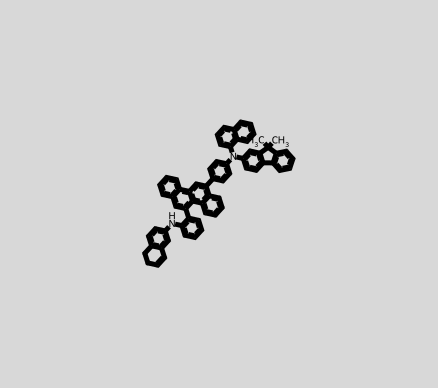 CC1(C)c2ccccc2-c2ccc(N(c3ccc(-c4cc5c6ccccc6cc(-c6ccccc6Nc6ccc7c(c6)C=CCC7)c5c5ccccc45)cc3)c3cccc4ccccc34)cc21